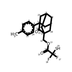 Cc1ccc(C23CC4CC(CC(COC(=O)C(F)(F)S)(C4)C2=O)C3)cc1